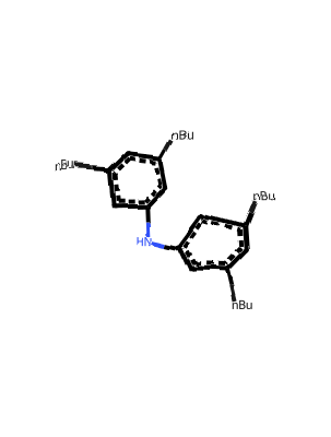 CCCCc1cc(CCCC)cc(Nc2cc(CCCC)cc(CCCC)c2)c1